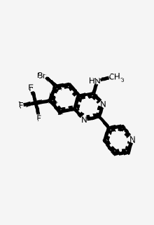 CNc1nc(-c2cccnc2)nc2cc(C(F)(F)F)c(Br)cc12